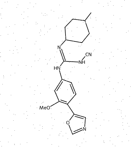 COc1cc(N/C(=N/C2CCC(C)CC2)NC#N)ccc1-c1cnco1